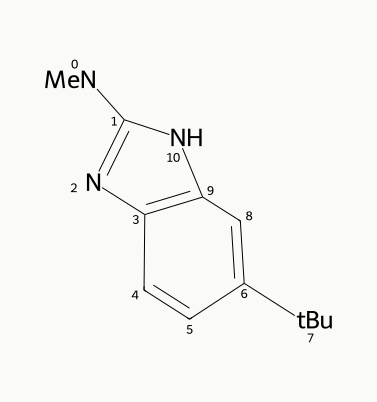 CNc1nc2ccc(C(C)(C)C)cc2[nH]1